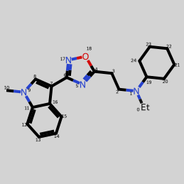 CCN(CCc1nc(-c2cn(C)c3ccccc23)no1)C1CCCCC1